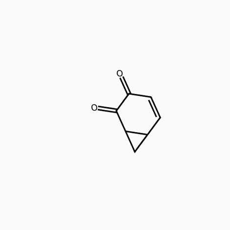 O=C1C=CC2CC2C1=O